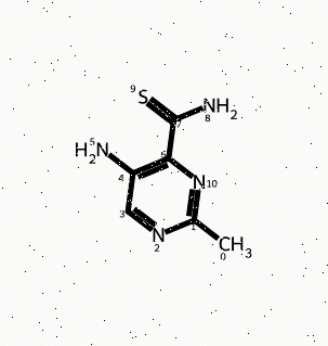 Cc1ncc(N)c(C(N)=S)n1